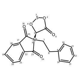 O=C1OSO[C@@H]1[N+]1(CCc2ccccc2)C(=O)c2ccccc2C1=O